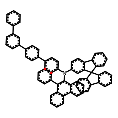 c1ccc(-c2cccc(-c3ccc(-c4ccc(N(c5ccc6c(c5)C5(c7ccccc7-c7ccccc75)c5ccccc5-6)c5c(-c6ccccc6)c6ccccc6c6ccccc56)cc4)cc3)c2)cc1